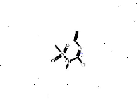 C=C/N=C(/Cl)N(C)S(C)(=O)=O